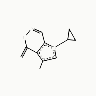 C=C1NN=Cc2c1c(C)cn2C1CC1